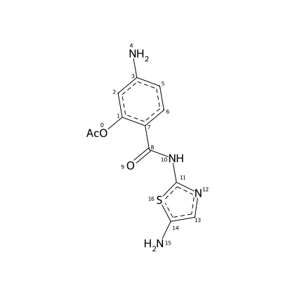 CC(=O)Oc1cc(N)ccc1C(=O)Nc1ncc(N)s1